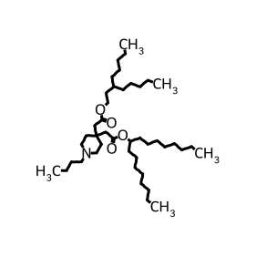 CCCCCCCCC(CCCCCCCC)OC(=O)CC1(CC(=O)OCCC(CCCCC)CCCCC)CCN(CCCC)CC1